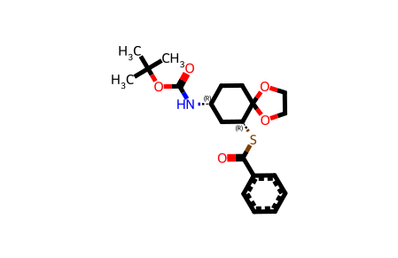 CC(C)(C)OC(=O)N[C@@H]1CCC2(OCCO2)[C@H](SC(=O)c2ccccc2)C1